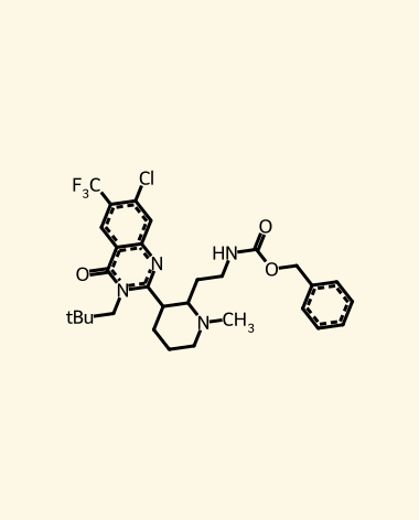 CN1CCCC(c2nc3cc(Cl)c(C(F)(F)F)cc3c(=O)n2CC(C)(C)C)C1CCNC(=O)OCc1ccccc1